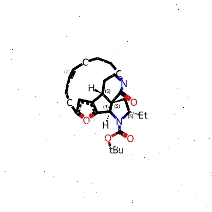 CC[C@H]1C[C@@]23C(=O)N4CCCC/C=C\CCc5cc(c(o5)[C@@H]2N1C(=O)OC(C)(C)C)[C@@H]3CC4